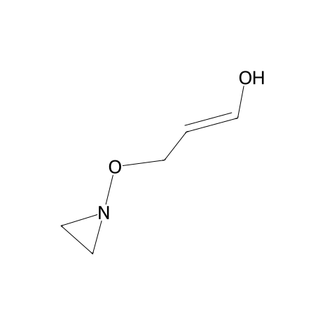 OC=CCON1CC1